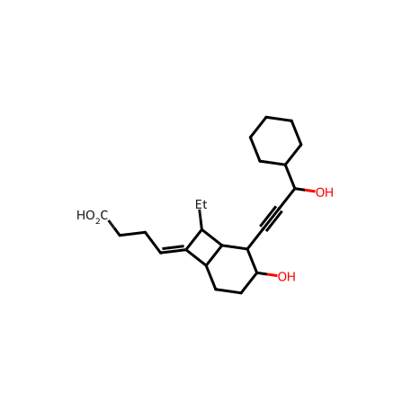 CCC1C(=CCCC(=O)O)C2CCC(O)C(C#CC(O)C3CCCCC3)C12